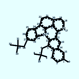 Cc1ccc2c(CC(C)(C)C)c3c(cc2c1)c1nccc2ccc4c5ccc(CC(C)(C)C)cc5n3c4c21